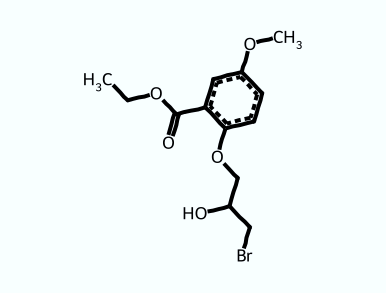 CCOC(=O)c1cc(OC)ccc1OCC(O)CBr